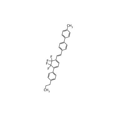 CCCc1ccc(C2=CC=C(/C=C/c3ccc(-c4ccc(C)cc4)cc3)C(F)(F)C2(F)F)cc1